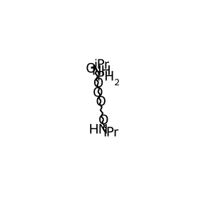 CC(C)NCCOCCCCCOCCOCCOCC(P)CNC(=O)C(C)C